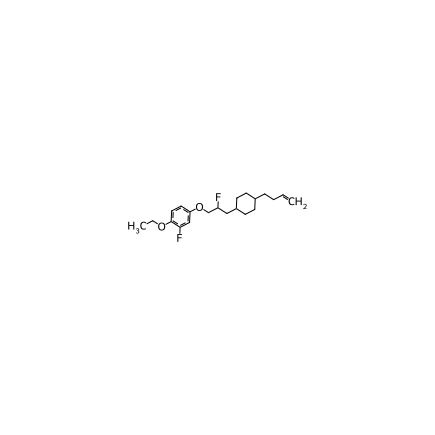 C=CCCC1CCC(CC(F)COc2ccc(OCC)c(F)c2)CC1